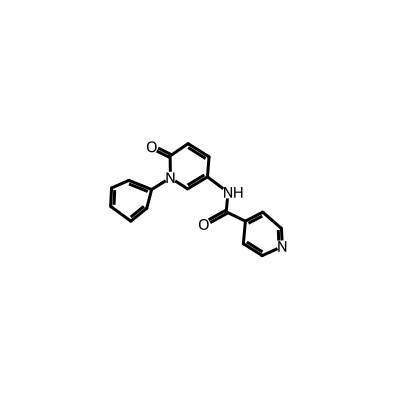 O=C(Nc1ccc(=O)n(-c2ccccc2)c1)c1ccncc1